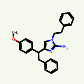 COc1ccc(C(Cc2ccccc2)c2cn(CCc3ccccc3)c(N)n2)cc1